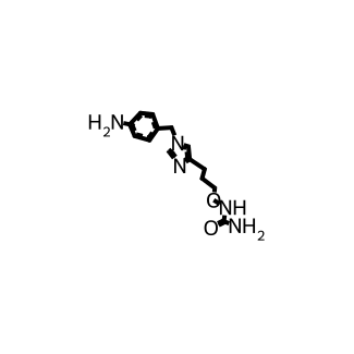 NC(=O)NOCCCc1cn(Cc2ccc(N)cc2)cn1